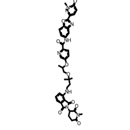 CC(COC(C)(C)CCNc1cccc2c1C(=O)N(C1CCC(=O)N(C)C1=O)C2=O)Oc1ccc(C(=O)Nc2ccc3oc(-c4ccc(=O)n(C)n4)nc3c2)nc1